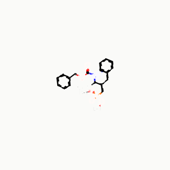 CC(C)(C)OP(=O)(CC(Cc1ccccc1)C(NC(=O)OCc1ccccc1)C(=O)O)OC(C)(C)C